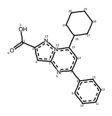 O=C(O)c1cc2nc(-c3ccccc3)cc(C3CCCCC3)n2n1